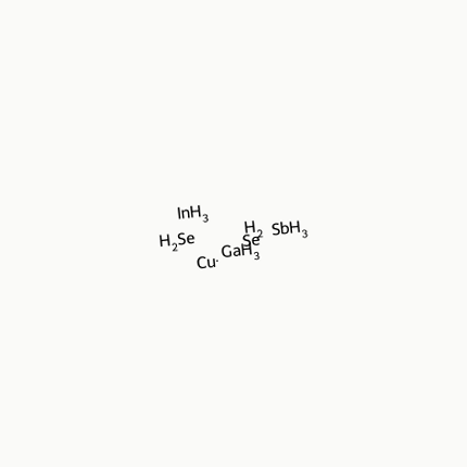 [Cu].[GaH3].[InH3].[SbH3].[SeH2].[SeH2]